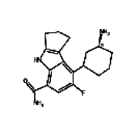 NC(=O)c1cc(F)c(C2CCC[C@H](N)C2)c2c3c([nH]c12)CCC3